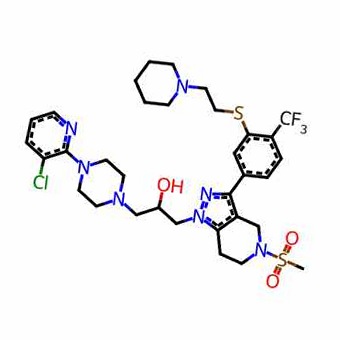 CS(=O)(=O)N1CCc2c(c(-c3ccc(C(F)(F)F)c(SCCN4CCCCC4)c3)nn2CC(O)CN2CCN(c3ncccc3Cl)CC2)C1